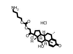 C[C@H]1C[C@@H]2[C@H]([C@@H](O)C[C@@]3(C)[C@H]2CC[C@]3(O)C(=O)COC(=O)OCCCCN)[C@@]2(C)C=CC(=O)C=C12.Cl